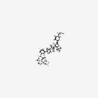 CC(C)(C)OC(=O)N(CC1CC1)c1cc(-c2nc(C(=O)Nc3cn(-c4ccc(CO)cc4)nc3C(F)(F)F)co2)ccn1